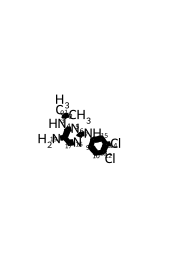 CC(C)Nc1nc(Nc2ccc(Cl)c(Cl)c2)ncc1N